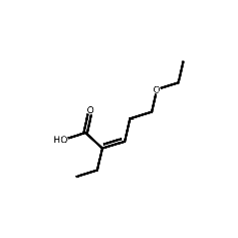 CCOCCC=C(CC)C(=O)O